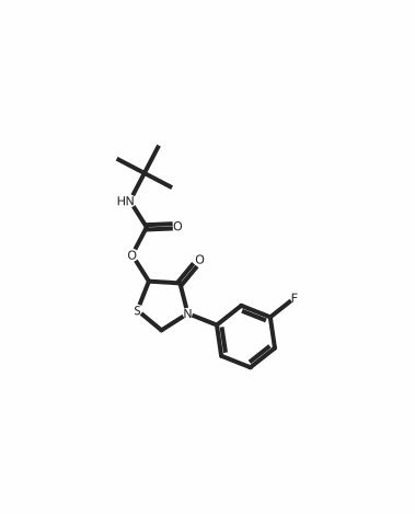 CC(C)(C)NC(=O)OC1SCN(c2cccc(F)c2)C1=O